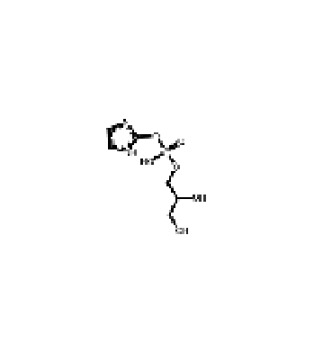 O=P(O)(OCC(O)CO)Oc1ncc[nH]1